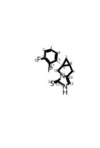 Fc1cccc([C@]23CC2Cc2c[nH]c(=S)n2C3)c1F